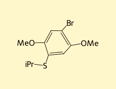 COc1cc(SC(C)C)c(OC)cc1Br